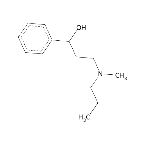 CCCN(C)CCC(O)c1ccccc1